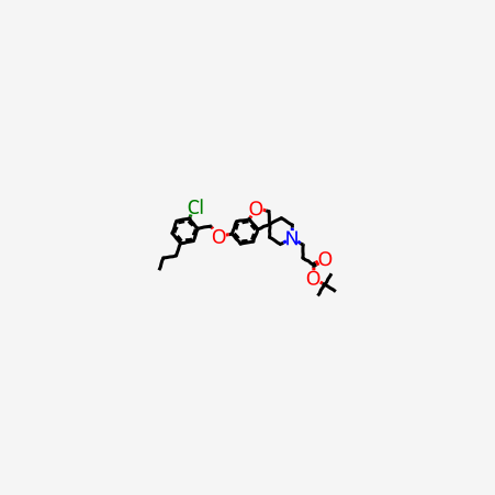 CCCc1ccc(Cl)c(COc2ccc3c(c2)OCC32CCN(CCC(=O)OC(C)(C)C)CC2)c1